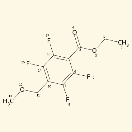 CCOC(=O)c1c(F)c(F)c(COC)c(F)c1F